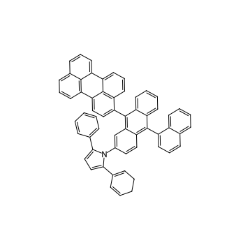 C1=CC(c2ccc(-c3ccccc3)n2-c2ccc3c(-c4cccc5ccccc45)c4ccccc4c(-c4ccc5c6cccc7cccc(c8cccc4c85)c76)c3c2)=CCC1